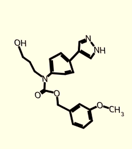 COc1cccc(COC(=O)N(CCCO)c2ccc(-c3cn[nH]c3)cc2)c1